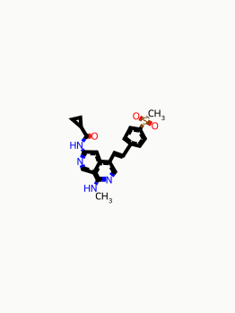 CNc1ncc(C=Cc2ccc(S(C)(=O)=O)cc2)c2cc(NC(=O)C3CC3)ncc12